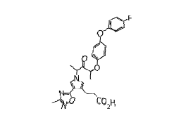 Cc1noc(-c2cn(C(C)C(=O)C(C)Oc3ccc(Oc4ccc(F)cc4)cc3)cc2CCC(=O)O)n1